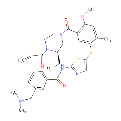 C=CC(=O)N1CCN(C(=O)c2cc(Sc3cnc(NC(=O)c4cccc(CN(C)C)c4)s3)c(C)cc2OC)C[C@H]1CC